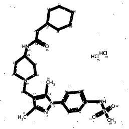 Cc1nn(-c2ccc(NS(C)(=O)=O)cc2)c(C)c1CN1CCC(NC(=O)CC2CCCCC2)CC1.Cl.Cl